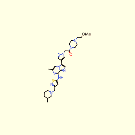 COCCN1CCN(C(=O)Cn2cc(-c3cnc4c(Nc5cc(CN6CCCC(C)C6)ns5)nc(C)cn34)cn2)CC1